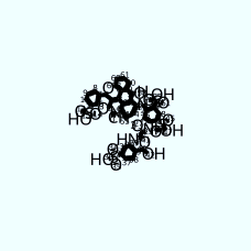 Cn1c(=O)c(C(=O)c2cccc(S(=O)(=O)O)c2)c2c3c(c(Nc4cc(NC(=O)CNc5cc(S(=O)(=O)O)ccc5C(=O)O)c(S(=O)(=O)O)cc4S(=O)(=O)O)ccc31)C(=O)c1ccccc1-2